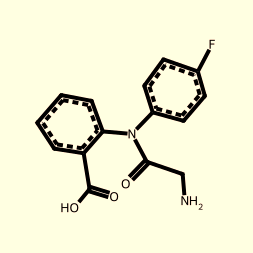 NCC(=O)N(c1ccc(F)cc1)c1ccccc1C(=O)O